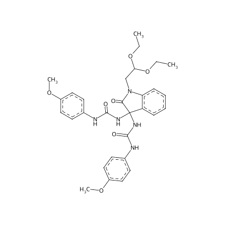 CCOC(CN1C(=O)C(NC(=O)Nc2ccc(OC)cc2)(NC(=O)Nc2ccc(OC)cc2)c2ccccc21)OCC